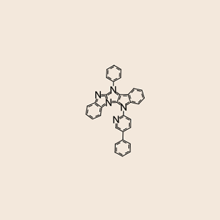 c1ccc(-c2ccc(-n3c4ccccc4c4c3n3c5ccccc5nc3n4-c3ccccc3)nc2)cc1